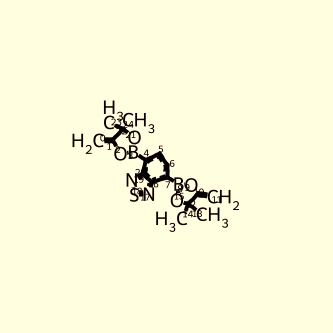 C=C1OB(c2ccc(B3OC(=C)C(C)(C)O3)c3nsnc23)OC1(C)C